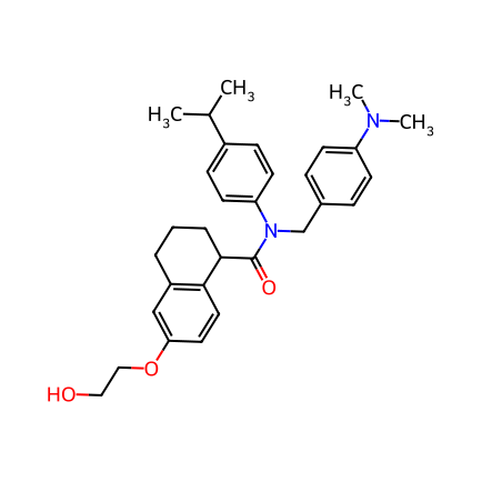 CC(C)c1ccc(N(Cc2ccc(N(C)C)cc2)C(=O)C2CCCc3cc(OCCO)ccc32)cc1